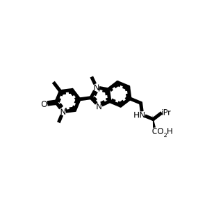 Cc1cc(-c2nc3cc(CN[C@H](C(=O)O)C(C)C)ccc3n2C)cn(C)c1=O